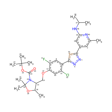 Cc1cc(-c2nnc(-c3cc(F)c(OCC4C(C)OC(C)(C)N4C(=O)OC(C)(C)C)cc3Cl)s2)cc(NC(C)C)n1